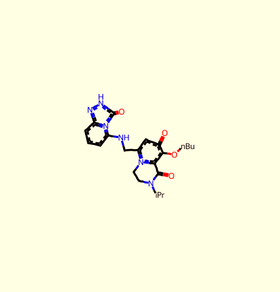 CCCCOc1c2n(c(CNc3cccc4n[nH]c(=O)n34)cc1=O)CCN(C(C)C)C2=O